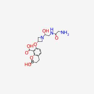 NCC(=O)NCC(O)N1CC(Oc2ccc3c(c2C(=O)O)OB(O)CC3)C1